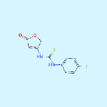 O=C1C=C(NC(=S)Nc2ccc(F)cc2)CO1